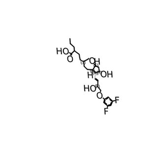 CCCC(CC[C@@H]1CC[C@@H]2[C@@H](C=C[C@@H](O)COc3cc(F)cc(F)c3)[C@H](O)C[C@@H]2OC1)C(=O)O